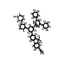 C[C@H]1C=CC=C(c2cccc(-c3cc(-c4ccc5c(c4)C(C)(C)c4cc(C#N)ccc4-5)cc(-c4nc(-c5ccccc5)cc(-c5ccccc5)n4)c3)c2)C1